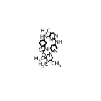 Cc1cnc(Nc2ccc(N3CC(C)N(C)C(C)C3)nc2)nc1Nc1ccc2oc(=O)[nH]c2c1